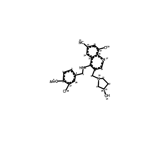 COc1ccc(CNc2c(CN3CC[C@@H](O)C3)cnc3c(Cl)cc(C#N)cc23)cc1Cl